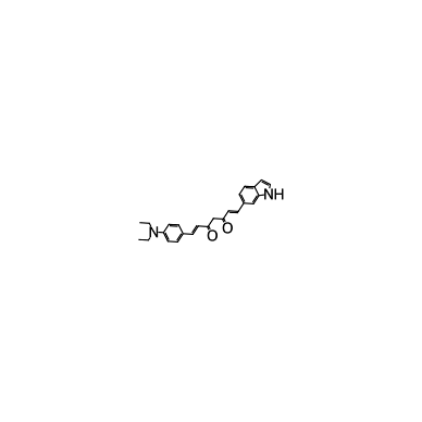 CCN(CC)c1ccc(C=CC(=O)CC(=O)C=Cc2ccc3cc[nH]c3c2)cc1